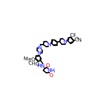 COc1cc(N2CCN(CC3CCN(c4ccc(C5CCN(c6ccc(C#N)c(C(F)(F)F)c6)CC5)cc4)CC3)CC2)cc(CNC2CCC(=O)NC2=O)c1C=O